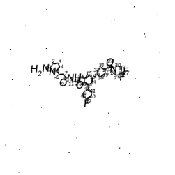 Nc1cccc(/C=C/C(=O)NCc2cc3cc(-c4ccc(C(=O)N5CCC(F)(F)CC5)cc4)cc(-c4ccc(F)cc4)c3o2)n1